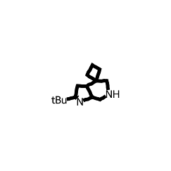 CC(C)(C)C1=NC2CNCC3(CCC3)C2C1